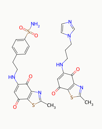 Cc1nc2c(s1)C(=O)C=C(NCCCn1ccnc1)C2=O.Cc1nc2c(s1)C(=O)C=C(NCCc1ccc(S(N)(=O)=O)cc1)C2=O